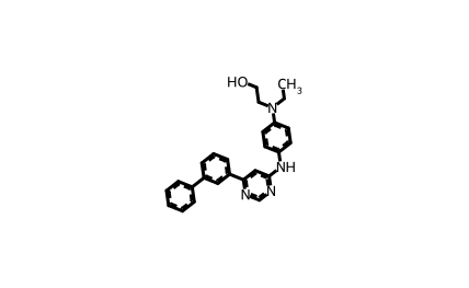 CCN(CCO)c1ccc(Nc2cc(-c3cccc(-c4ccccc4)c3)ncn2)cc1